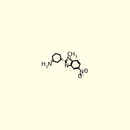 Cn1c([C@H]2CCC[C@@H](N)C2)nc2cc([N+](=O)[O-])ccc21